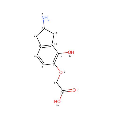 NC1Cc2ccc(OCC(=O)O)c(O)c2C1